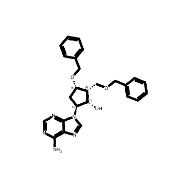 Nc1ncnc2c1ncn2[C@H]1C[C@H](OCc2ccccc2)[C@H](COCc2ccccc2)[C@@H]1O